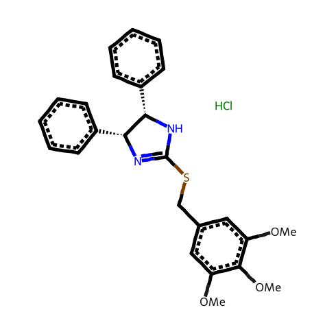 COc1cc(CSC2=N[C@H](c3ccccc3)[C@H](c3ccccc3)N2)cc(OC)c1OC.Cl